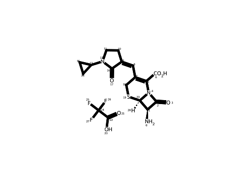 N[C@@H]1C(=O)N2C(C(=O)O)=C(/C=C3/CCN(C4CC4)C3=O)CS[C@H]12.O=C(O)C(F)(F)F